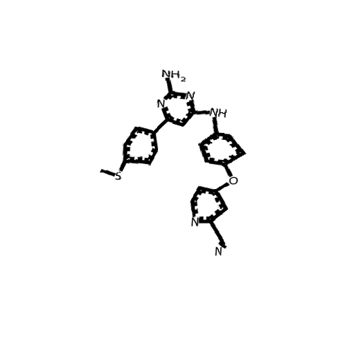 CSc1ccc(-c2cc(Nc3ccc(Oc4ccnc(C#N)c4)cc3)nc(N)n2)cc1